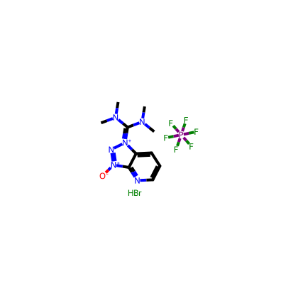 Br.CN(C)C(N(C)C)=[N+]1N=[N+]([O-])c2ncccc21.F[P-](F)(F)(F)(F)F